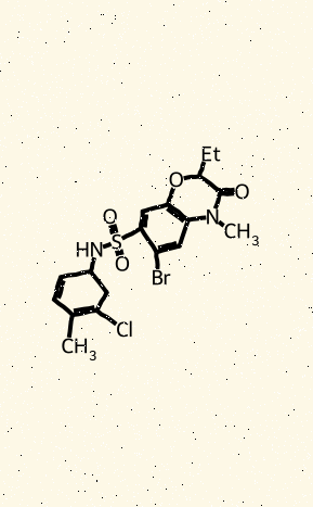 CCC1Oc2cc(S(=O)(=O)NC3C=CC(C)=C(Cl)C3)c(Br)cc2N(C)C1=O